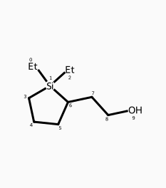 CC[Si]1(CC)CCCC1CCO